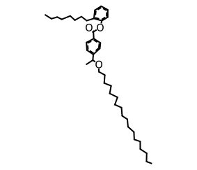 CCCCCCCCCCCCCCCCCCOC(C)c1ccc(C(=O)Oc2ccccc2CCCCCCCC)cc1